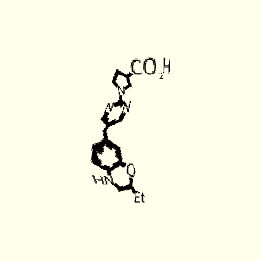 CCC1CNc2ccc(-c3cnc(N4CCC(C(=O)O)C4)nc3)cc2O1